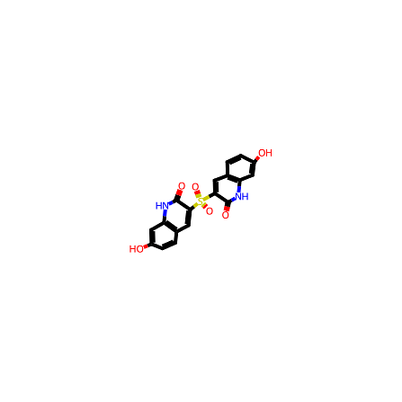 O=c1[nH]c2cc(O)ccc2cc1S(=O)(=O)c1cc2ccc(O)cc2[nH]c1=O